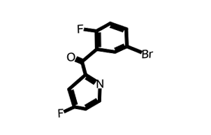 O=C(c1cc(F)ccn1)c1cc(Br)ccc1F